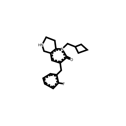 O=c1c(Cc2ccccc2F)cc2c(n1CC1CCC1)CCNC2